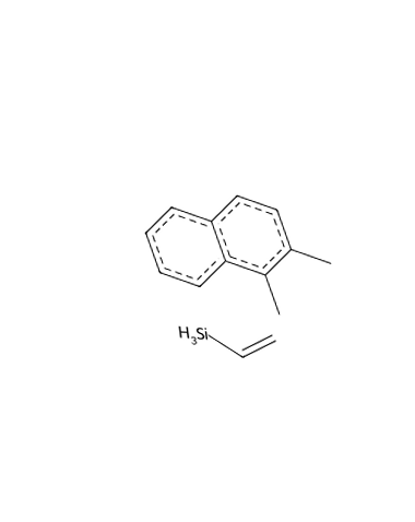 C=C[SiH3].Cc1ccc2ccccc2c1C